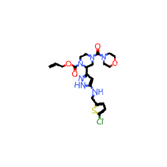 C=CCOC(=O)N1CCN(C(=O)N2CCOCC2)CC1c1cc(NCc2ccc(Cl)s2)[nH]n1